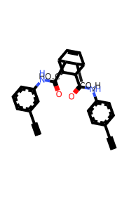 C#Cc1ccc(NC(=O)C2C3C=CC(C2C(=O)O)C(C(=O)Nc2cccc(C#C)c2)C3C(=O)O)cc1